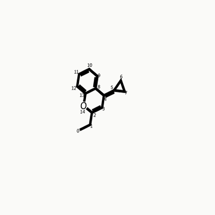 CCC1=CC(=C2CC2)c2ccccc2O1